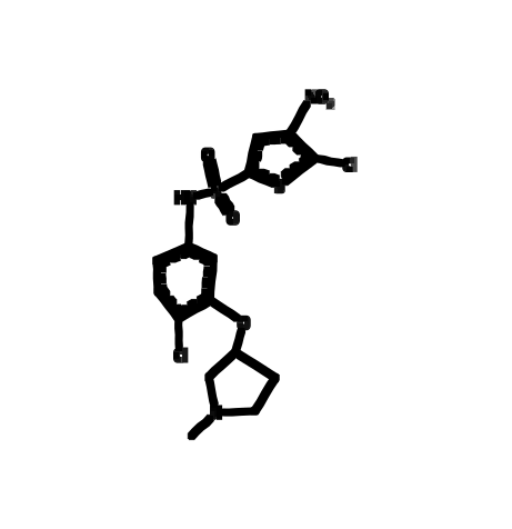 CN1CCC(Oc2cc(NS(=O)(=O)c3cc([N+](=O)[O-])c(Cl)s3)ccc2Cl)C1